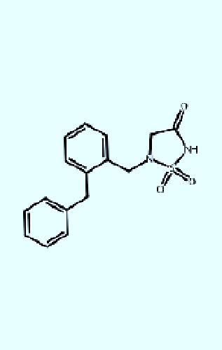 O=C1CN(Cc2ccccc2Cc2ccccc2)S(=O)(=O)N1